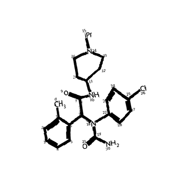 Cc1ccccc1C(C(=O)NC1CCN(C(C)C)CC1)N(C(N)=O)c1ccc(Cl)cc1